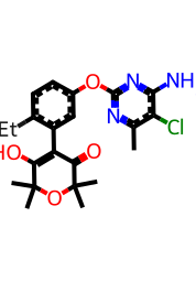 CCc1ccc(Oc2nc(C)c(Cl)c(N)n2)cc1C1=C(O)C(C)(C)OC(C)(C)C1=O